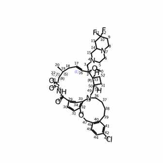 CO[C@@]1(CN2CCN3CCC(F)(F)CC3C2)/C=C/C[C@H](C)[C@@H](C)S(=O)(=O)NC(=O)c2ccc3c(c2)N(CCCCc2cc(Cl)ccc2CO3)C[C@@H]2CC[C@H]21